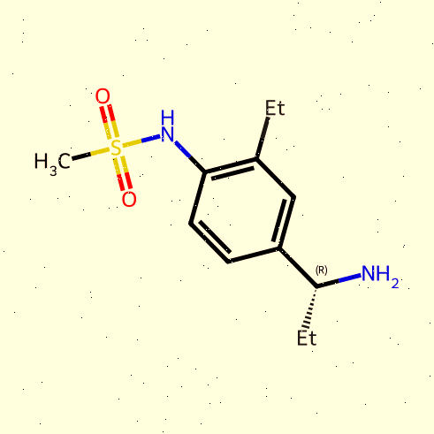 CCc1cc([C@H](N)CC)ccc1NS(C)(=O)=O